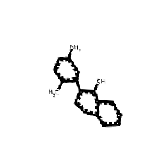 Cc1ccc(N)cc1-c1ccc2ccccc2c1O